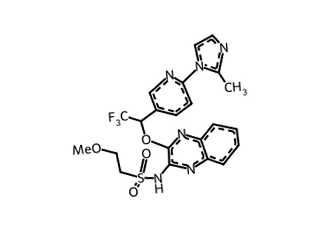 COCCS(=O)(=O)Nc1nc2ccccc2nc1OC(c1ccc(-n2ccnc2C)nc1)C(F)(F)F